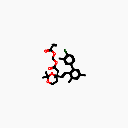 Cc1cc(C)c(C=C[C@]2(CC(=O)OCOC(=O)C(C)(C)C)CCOC(C)(C)O2)c(-c2ccc(F)c(C)c2)c1